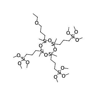 CCOCCC[Si]1(C)O[Si](C)(CCC[Si](OC)(OC)OC)O[Si](C)(CCC[Si](OC)(OC)OC)O[Si](C)(CCC[Si](OC)(OC)OC)O1